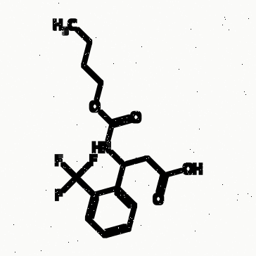 CCCCOC(=O)NC(CC(=O)O)c1ccccc1C(F)(F)F